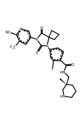 C[C@@]1(CNC(=O)c2ccc(N3C(=S)N(c4cnc(C#N)c(C(F)(F)F)c4)C(=O)C34CCC4)cc2F)CCCNC1